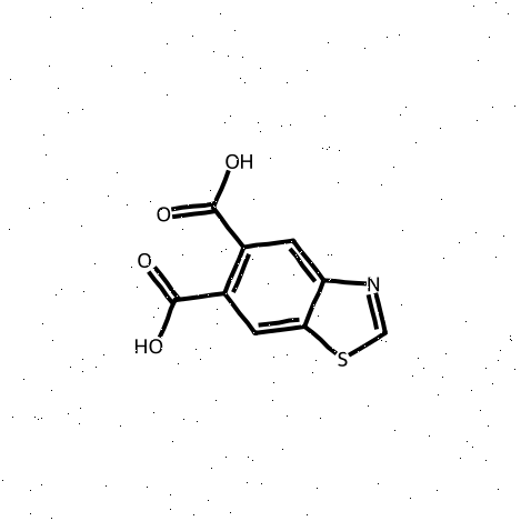 O=C(O)c1cc2ncsc2cc1C(=O)O